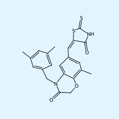 Cc1cc(C)cc(CN2C(=O)COc3c(C)cc(C=C4SC(=S)NC4=O)cc32)c1